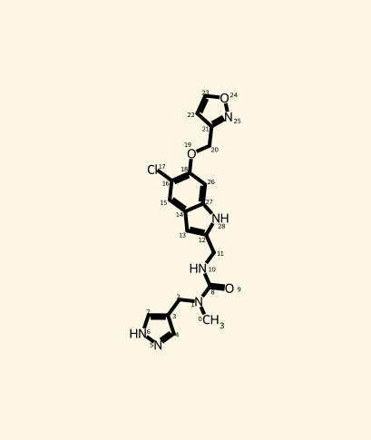 CN(Cc1cn[nH]c1)C(=O)NCc1cc2cc(Cl)c(OCc3ccon3)cc2[nH]1